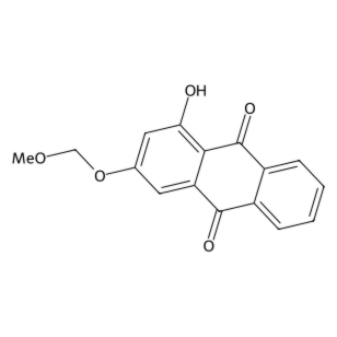 COCOc1cc(O)c2c(c1)C(=O)c1ccccc1C2=O